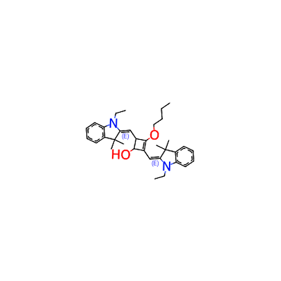 CCCCOC1=C(/C=C2/N(CC)c3ccccc3C2(C)C)C(O)C1/C=C1/N(CC)c2ccccc2C1(C)C